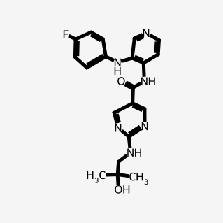 CC(C)(O)CNc1ncc(C(=O)Nc2ccncc2Nc2ccc(F)cc2)cn1